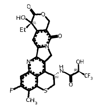 CC[C@@]1(O)C(=O)OCc2c1cc1n(c2=O)Cc2c-1nc1cc(F)c(C)c3c1c2[C@H](NC(=O)[C@@H](O)C(F)(F)F)CS3